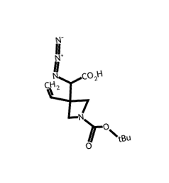 C=CC1(C(N=[N+]=[N-])C(=O)O)CN(C(=O)OC(C)(C)C)C1